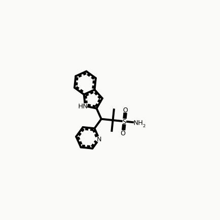 CC(C)(C(c1ccccn1)c1cc2ccccc2[nH]1)S(N)(=O)=O